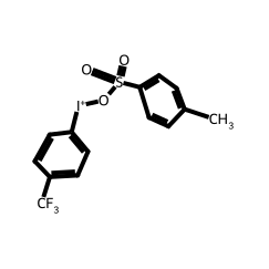 Cc1ccc(S(=O)(=O)O[I+]c2ccc(C(F)(F)F)cc2)cc1